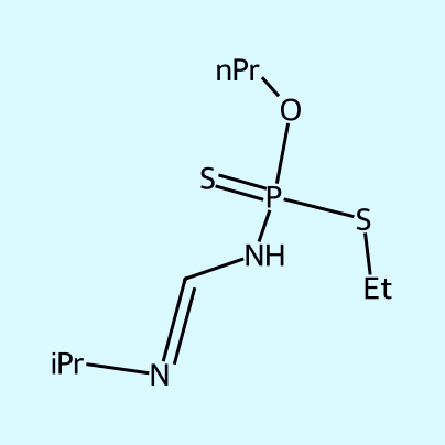 CCCOP(=S)(NC=NC(C)C)SCC